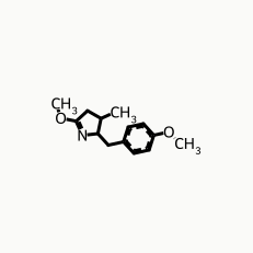 COC1=NC(Cc2ccc(OC)cc2)C(C)C1